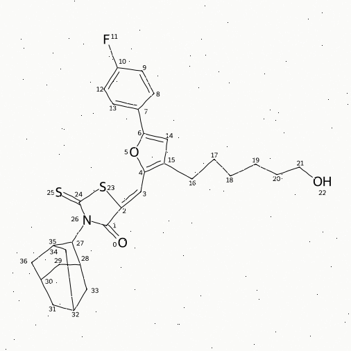 O=C1/C(=C/c2oc(-c3ccc(F)cc3)cc2CCCCCCO)SC(=S)N1C1C2CC3CC(C2)CC1C3